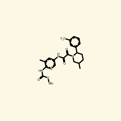 Cc1cc(NC(=O)C(=O)N2CC(C)CCC2c2cccc(C(F)(F)F)c2)cnc1NC(=O)OC(C)(C)C